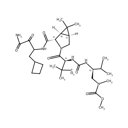 COC(=O)N(C)C[C@@H](NC(=O)N[C@H](C(=O)N1C[C@H]2[C@@H]([C@H]1C(=O)NC(CC1CCC1)C(=O)C(N)=O)C2(C)C)C(C)(C)C)C(C)C